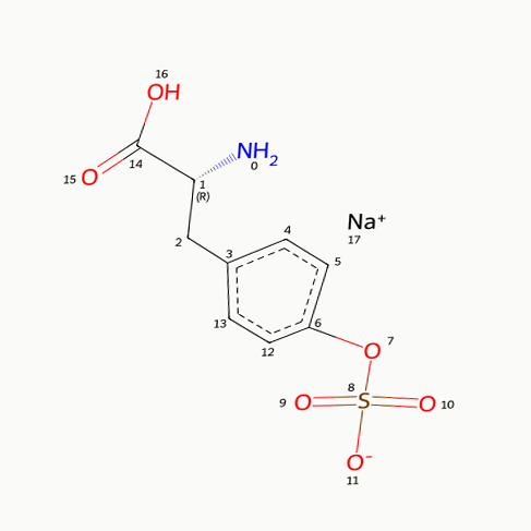 N[C@H](Cc1ccc(OS(=O)(=O)[O-])cc1)C(=O)O.[Na+]